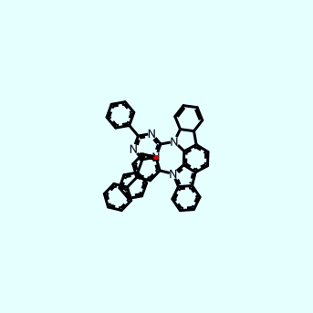 C1=CC2c3ccc4c5ccccc5n(-c5cccc(-c6ccccc6)c5)c4c3N(c3nc(-c4ccccc4)nc(-c4ccccc4)n3)C2C=C1